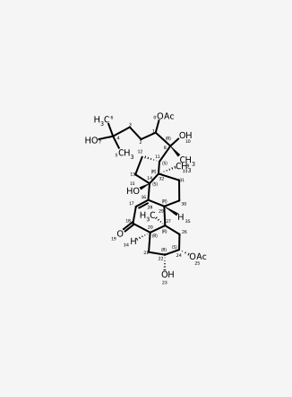 CC(=O)OC(CCC(C)(C)O)[C@](C)(O)[C@H]1CC[C@@]2(O)C3=CC(=O)[C@@H]4C[C@@H](O)[C@@H](OC(C)=O)C[C@]4(C)[C@H]3CC[C@]12C